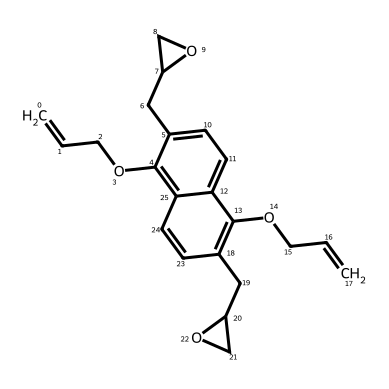 C=CCOc1c(CC2CO2)ccc2c(OCC=C)c(CC3CO3)ccc12